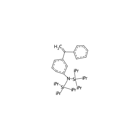 C=C(c1ccccc1)c1cccc(N([Si](C(C)C)(C(C)C)C(C)C)[Si](C(C)C)(C(C)C)C(C)C)c1